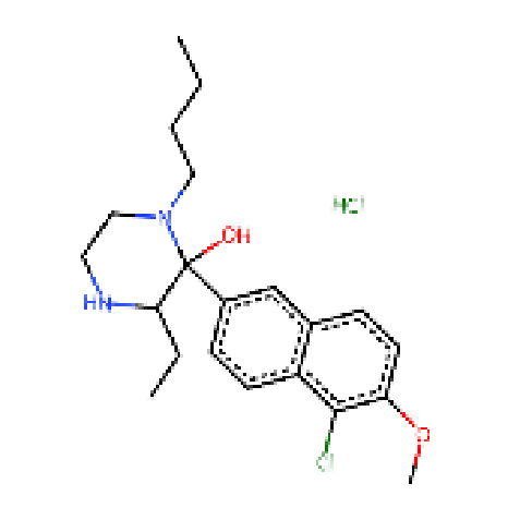 CCCCN1CCNC(CC)C1(O)c1ccc2c(Cl)c(OC)ccc2c1.Cl